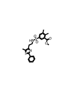 COC(=O)c1cc(S(=O)(=O)NCCc2nc(-c3ccccc3)sc2C)cc(C)c1C